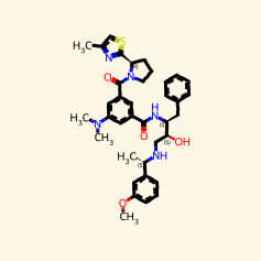 COc1cccc([C@H](C)NC[C@H](O)[C@H](Cc2ccccc2)NC(=O)c2cc(C(=O)N3CCC[C@@H]3c3nc(C)cs3)cc(N(C)C)c2)c1